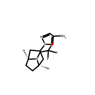 Nc1cnn(C2C[C@H]3CC[C@@H](C2)N3CC(F)(F)F)c1